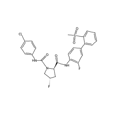 CS(=O)(=O)c1ccccc1-c1ccc(NC(=O)[C@H]2C[C@H](F)CN2C(=O)Nc2ccc(Cl)cc2)c(F)c1